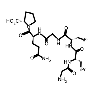 CC(C)C[C@H](NC(=O)CN)C(=O)N[C@@H](CC(C)C)C(=O)NCC(=O)N[C@@H](CCC(N)=O)C(=O)N1CCC[C@H]1C(=O)O